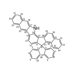 c1ccc(C2(c3ccccc3)c3ccc4c([nH]c5cc6ccccc6cc54)c3-c3ccc4ccccc4c32)cc1